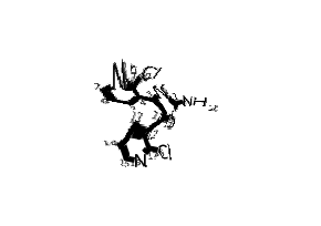 Nc1nc(-c2cccnc2Cl)c(-c2cccnc2Cl)s1